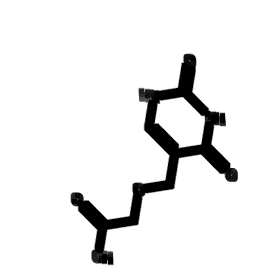 O=C(O)COCc1c[nH]c(=O)[nH]c1=O